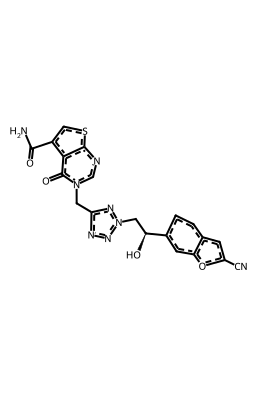 N#Cc1cc2ccc([C@@H](O)Cn3nnc(Cn4cnc5scc(C(N)=O)c5c4=O)n3)cc2o1